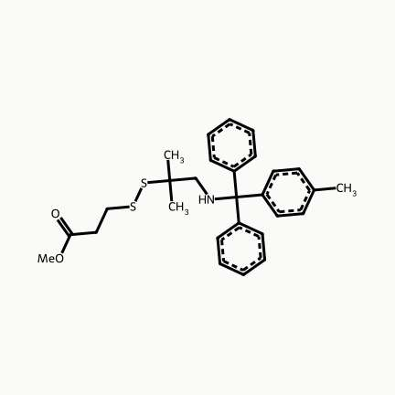 COC(=O)CCSSC(C)(C)CNC(c1ccccc1)(c1ccccc1)c1ccc(C)cc1